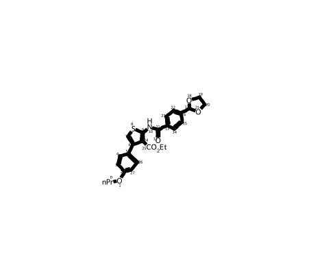 CCCOc1ccc(-c2csc(NC(=O)c3ccc(C4OCCO4)cc3)c2C(=O)OCC)cc1